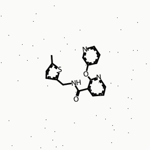 Cc1ccc(CNC(=O)c2cccnc2Oc2cccnc2)s1